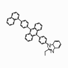 CCC1=NC2C=CC=CC2N1c1ccc(-c2c3ccccc3c(-c3ccc(-c4cccc5ccccc45)cc3)c3ccccc23)cc1